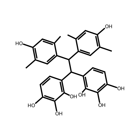 Cc1cc(C(c2cc(C)c(O)cc2C)C(c2ccc(O)c(O)c2O)c2ccc(O)c(O)c2O)c(C)cc1O